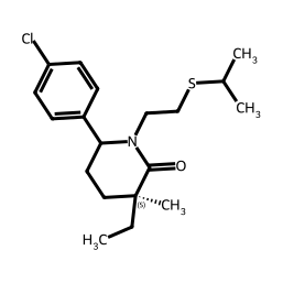 CC[C@@]1(C)CCC(c2ccc(Cl)cc2)N(CCSC(C)C)C1=O